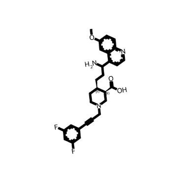 COc1ccc2nccc(C(N)CC[C@@H]3CCN(CC#Cc4cc(F)cc(F)c4)C[C@@H]3C(=O)O)c2c1